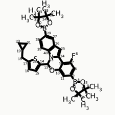 CC1(C)OB(c2cc(F)c3c(c2)OC(c2ccc(CC4CC4)s2)n2c-3cc3cc(B4OC(C)(C)C(C)(C)O4)ccc32)OC1(C)C